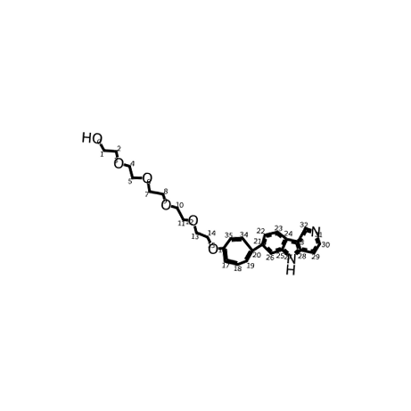 OCCOCCOCCOCCOCCOC1=C=CC=C(c2ccc3c(c2)[nH]c2ccncc23)C=C1